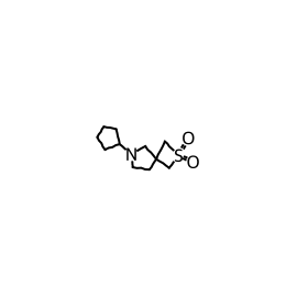 O=S1(=O)CC2(CCN(C3CCCC3)C2)C1